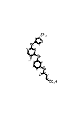 Cn1cc(Nc2ncc(Cl)c(Nc3cccc(NC(=O)/C=C/C(=O)O)c3)n2)cn1